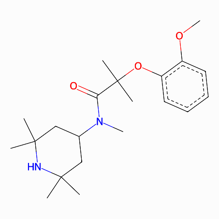 COc1ccccc1OC(C)(C)C(=O)N(C)C1CC(C)(C)NC(C)(C)C1